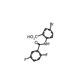 O=C(Nc1ccc(Br)cc1C(=O)O)c1cc(F)ccc1F